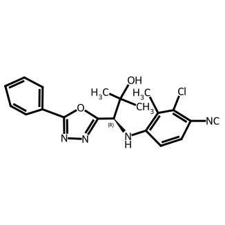 [C-]#[N+]c1ccc(N[C@@H](c2nnc(-c3ccccc3)o2)C(C)(C)O)c(C)c1Cl